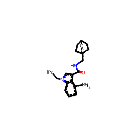 Bc1cccc2c1c(C(=O)NCC13CCC(CC1)CC3)cn2CC(C)C